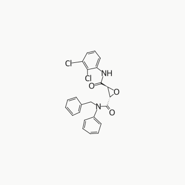 O=C(Nc1cccc(Cl)c1Cl)[C@H]1O[C@@H]1C(=O)N(Cc1ccccc1)c1ccccc1